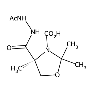 CC(=O)NNC(=O)[C@]1(C)COC(C)(C)N1C(=O)O